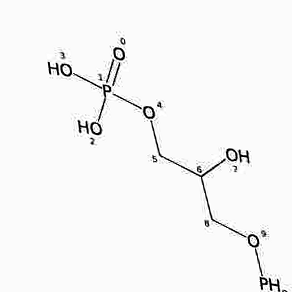 O=P(O)(O)OCC(O)COP